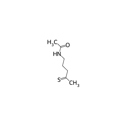 CC(=O)NCCCC(C)=S